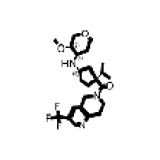 CO[C@@H]1COCC[C@H]1N[C@H]1CC[C@@](C(=O)N2CCc3ncc(C(F)(F)F)cc3C2)(C(C)C)C1